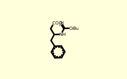 CC(C)COC(=O)NC(CC(=O)O)Cc1ccccc1